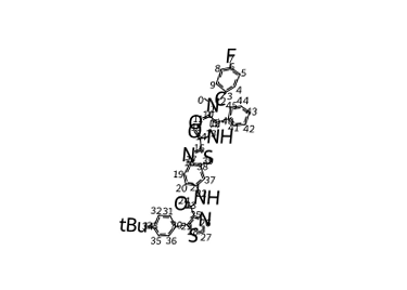 CN(Cc1ccc(F)cc1)C(=O)[C@@H](NC(=O)c1nc2ccc(NC(=O)c3ncsc3-c3ccc(C(C)(C)C)cc3)cc2s1)c1ccccc1